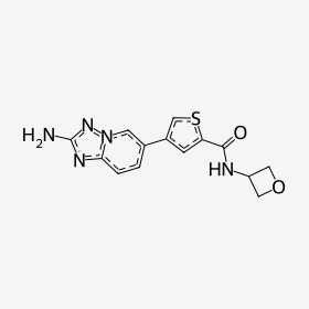 Nc1nc2ccc(-c3csc(C(=O)NC4COC4)c3)cn2n1